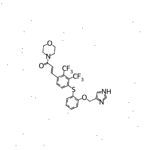 O=C(C=Cc1ccc(Sc2ccccc2OCc2c[nH]cn2)c(C(F)(F)F)c1C(F)(F)F)N1CCOCC1